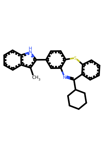 Cc1c(-c2ccc3c(c2)N=C(C2CCCCC2)c2ccccc2S3)[nH]c2ccccc12